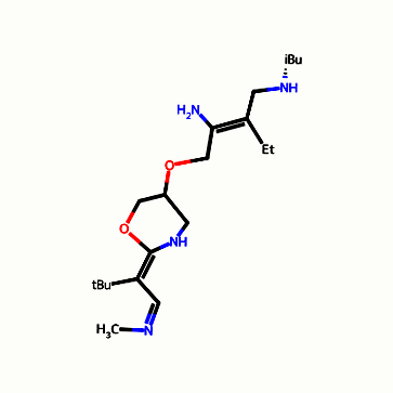 CC/C(CN[C@@H](C)CC)=C(/N)COC1CN/C(=C(\C=N/C)C(C)(C)C)OC1